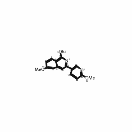 COc1ccc2c(C(C)(C)C)nc(-c3ccc(OC)nc3)cc2c1